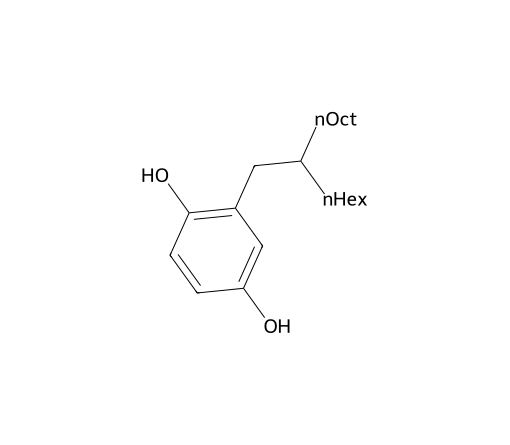 CCCCCCCCC(CCCCCC)Cc1cc(O)ccc1O